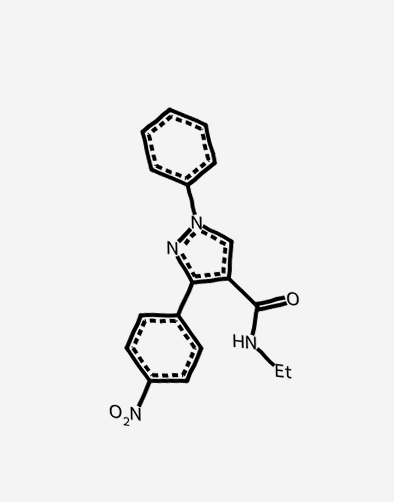 CCNC(=O)c1cn(-c2ccccc2)nc1-c1ccc([N+](=O)[O-])cc1